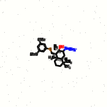 COc1cc(OC)cc(SC[C@@H]2[C@@]3(C)CCCC(C)(C)[C@@H]3CC(N=[N+]=[N-])[C@]2(C)O)c1